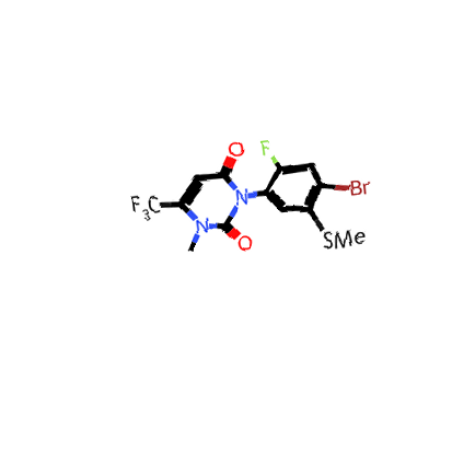 CSc1cc(-n2c(=O)cc(C(F)(F)F)n(C)c2=O)c(F)cc1Br